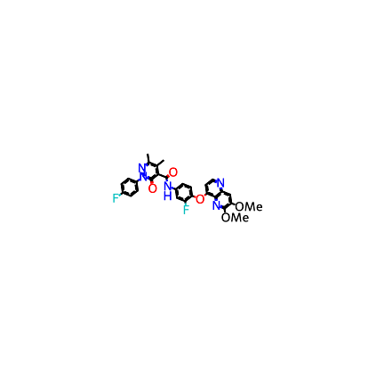 COc1cc2nccc(Oc3ccc(NC(=O)c4c(C)c(C)nn(-c5ccc(F)cc5)c4=O)cc3F)c2nc1OC